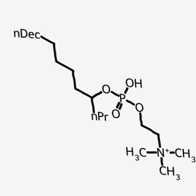 CCCCCCCCCCCCCCC(CCC)OP(=O)(O)OCC[N+](C)(C)C